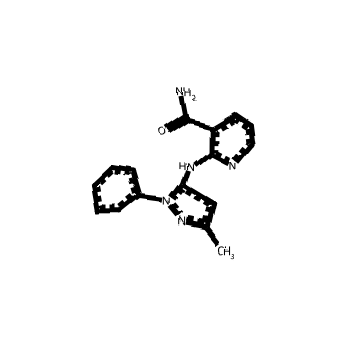 Cc1cc(Nc2ncccc2C(N)=O)n(-c2ccccc2)n1